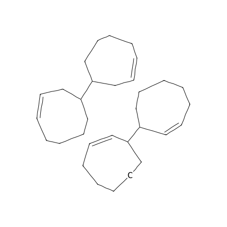 C1=CC(C2C=CCCCCC2)CCCCC1.C1=CCC(C2CC=CCCCC2)CCCC1